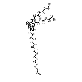 CCCCCCCCCCCCCCCCCCNOP(=O)(OCCCCCCCC)OCCCCCCCC